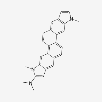 CN(C)c1cc2cc3ccc4c5cc6c(ccn6C)cc5ccc4c3cc2n1C